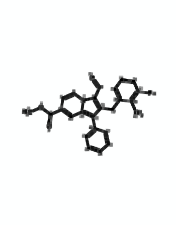 COC(=O)c1ccn2c(C=O)c(Cc3cccc(F)c3C)c(-c3ccccc3)c2c1